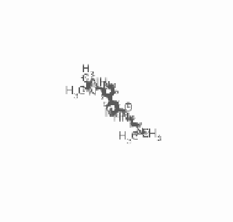 Cc1nc(-c2cc(-c3cncc(C(=O)NCCCN(C)C)c3)ccn2)[nH]c1C